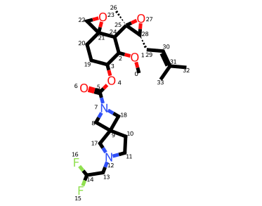 COC1C(OC(=O)N2CC3(CCN(CC(F)F)C3)C2)CCC2(CO2)C1[C@@]1(C)O[C@@H]1CC=C(C)C